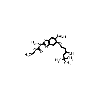 CCOC(=O)N(C)c1nc2cc(OCCC(C)CC(C)(C)C)c(N=N)cc2s1